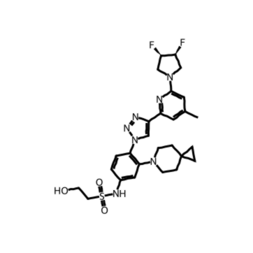 Cc1cc(-c2cn(-c3ccc(NS(=O)(=O)CCO)cc3N3CCC4(CC3)CC4)nn2)nc(N2C[C@@H](F)[C@@H](F)C2)c1